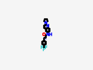 O=C(/C=C/c1ccc(C(F)(F)F)cc1)Nc1ccc2nc(N3CCCC3)ccc2c1